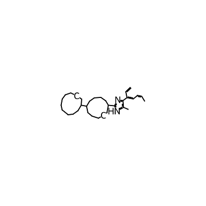 C=C/C(=C\C=C/C)c1nc(C2CCCCCC(C3CCCCCCCCCC3)CCCC2)[nH]c1C